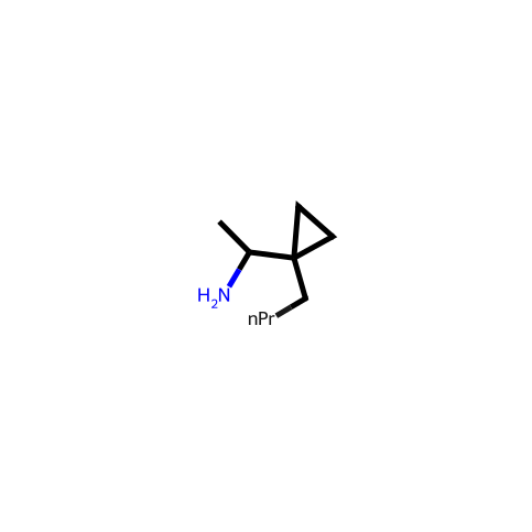 CCCCC1(C(C)N)CC1